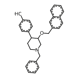 [CH]c1ccc(C2CCN(Cc3ccccc3)CC2OCc2ccc3ccccc3c2)cc1